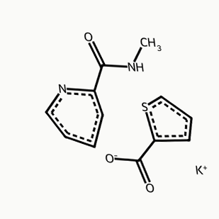 CNC(=O)c1ccccn1.O=C([O-])c1cccs1.[K+]